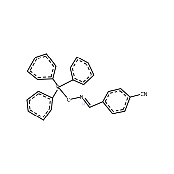 N#Cc1ccc(/C=N/O[Si](c2ccccc2)(c2ccccc2)c2ccccc2)cc1